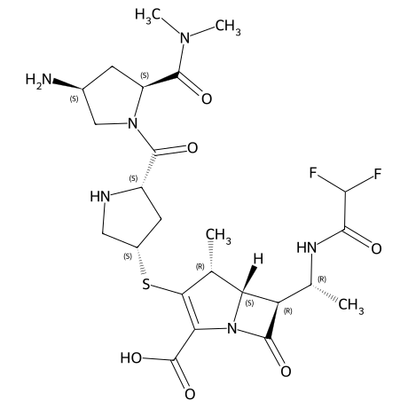 C[C@@H](NC(=O)C(F)F)[C@H]1C(=O)N2C(C(=O)O)=C(S[C@@H]3CN[C@H](C(=O)N4C[C@@H](N)C[C@H]4C(=O)N(C)C)C3)[C@H](C)[C@H]12